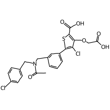 CC(=O)N(Cc1ccc(Cl)cc1)Cc1cccc(-c2sc(C(=O)O)c(OCC(=O)O)c2Cl)c1